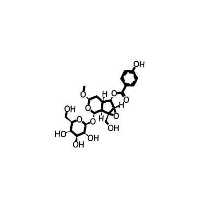 CO[C@@H]1C[C@H]2[C@H](OC(=O)c3ccc(O)cc3)[C@@H]3O[C@]3(CO)[C@H]2[C@H](O[C@@H]2O[C@H](CO)[C@@H](O)[C@H](O)[C@H]2O)O1